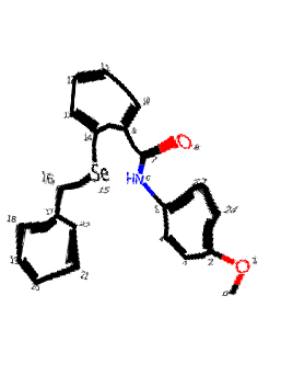 COc1ccc(NC(=O)c2ccccc2[Se]Cc2ccccc2)cc1